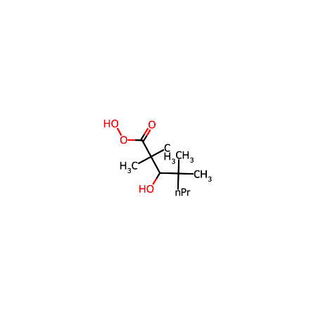 CCCC(C)(C)C(O)C(C)(C)C(=O)OO